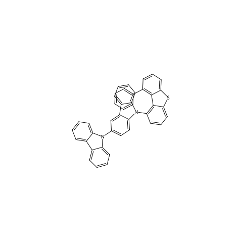 c1ccc(-c2cccc3sc4cccc(-n5c6ccccc6c6cc(-n7c8ccccc8c8ccccc87)ccc65)c4c23)cc1